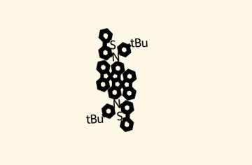 CC(C)(C)c1ccc(N(c2ccc3c(c2)C2(C4=C3C3(c5cc(N(c6ccc(C(C)(C)C)cc6)c6cccc7c6sc6ccccc67)ccc54)c4ccccc4-c4ccccc43)c3ccccc3-c3ccccc32)c2cccc3c2sc2ccccc23)cc1